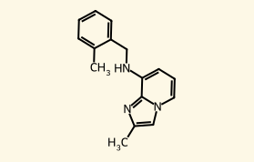 Cc1cn2cccc(NCc3ccccc3C)c2n1